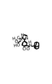 CN(CC(=O)O)c1nccnc1-c1ccc(Cl)c(C(=O)NCC23CC4CC(CC(C4)C2)C3)c1